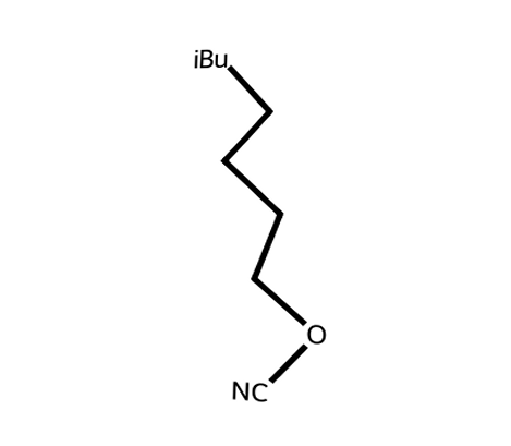 CCC(C)CCCCOC#N